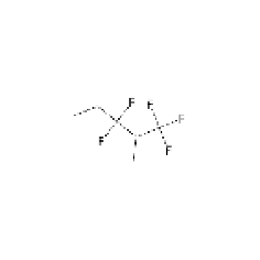 CCC(F)(F)C(C)C(F)(F)F